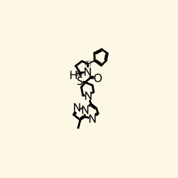 Cc1cnn2c(N3CCC4(CC3)S[C@@H]3CC[C@@H](c5ccccc5)N3C4=O)ccnc12